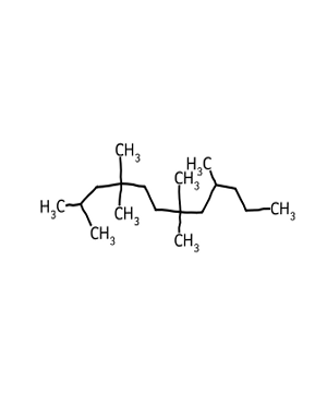 CCCC(C)CC(C)(C)CCC(C)(C)CC(C)C